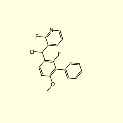 COc1ccc(C(Cl)c2cccnc2F)c(F)c1-c1ccccc1